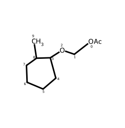 CC(=O)OCOC1CCCCC1C